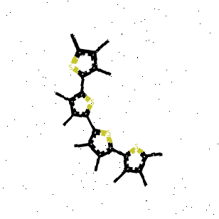 Cc1sc(-c2sc(-c3sc(-c4sc(C)c(C)c4C)c(C)c3C)c(C)c2C)c(C)c1C